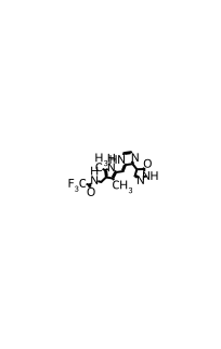 Cc1[nH]c(C=C2NC=CN=C2C2C=NNC2=O)c(C)c1CNC(=O)C(F)(F)F